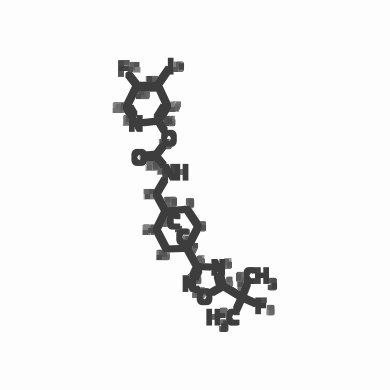 CC(C)(F)c1nc(C23CCC(CNC(=O)Oc4cc(I)c(F)cn4)(CC2)CC3)no1